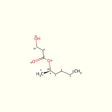 CCCC[C@@H](C)OC(=O)CCO